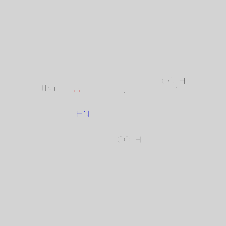 CC(C)(C)ONC(CCC(=O)O)C(=O)O